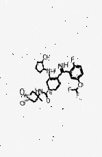 CC1(NC(=O)[C@@H]2CCC(C(=N)c3cc(OC(F)F)ccc3F)=C(NC3CCCC3O)C2)CS(=O)(=O)C1